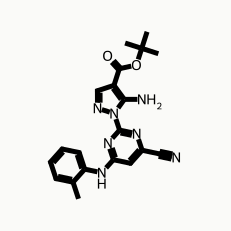 Cc1ccccc1Nc1cc(C#N)nc(-n2ncc(C(=O)OC(C)(C)C)c2N)n1